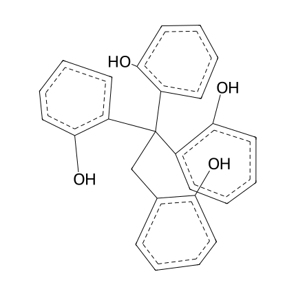 Oc1ccccc1CC(c1ccccc1O)(c1ccccc1O)c1ccccc1O